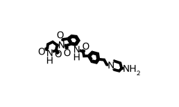 NC1CCN(CCc2ccc(CC(=O)Nc3cccc4c3C(=O)N(C3CCC(=O)NC3=O)C4=O)cc2)CC1